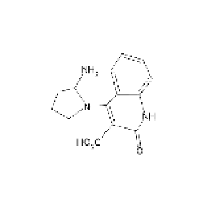 NC1CCCN1c1c(C(=O)O)c(=O)[nH]c2ccccc12